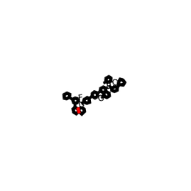 Cc1ccccc1B(c1ccc2c3c(cccc13)Oc1cc(-c3ccc(N(c4ccccc4)c4c(F)cc(-c5ccccc5)cc4-c4ccccc4)cc3)ccc1-2)c1cccc2c1oc1ccccc12